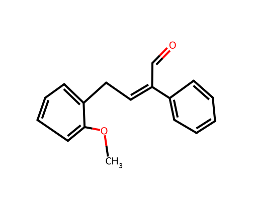 COc1ccccc1CC=C(C=O)c1ccccc1